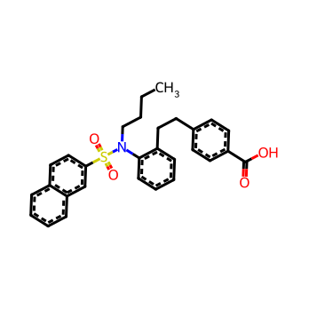 CCCCN(c1ccccc1CCc1ccc(C(=O)O)cc1)S(=O)(=O)c1ccc2ccccc2c1